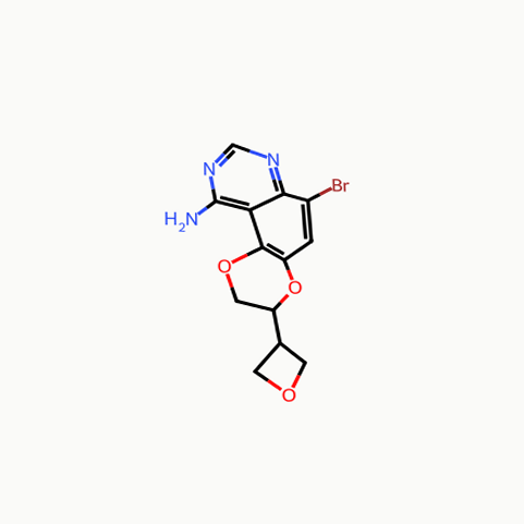 Nc1ncnc2c(Br)cc3c(c12)OCC(C1COC1)O3